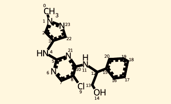 Cn1cc(Nc2ncc(Cl)c(NC(CO)c3ccccc3)n2)cn1